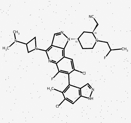 Cc1c(Cl)cc2[nH]ncc2c1-c1c(Cl)cc2c(nc(N3CC(N(C)C)C3)c3cnn([C@H]4CCN(CC(C)F)[C@H](CC#N)C4)c32)c1F